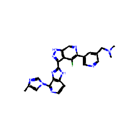 Cc1cn(-c2nccc3[nH]c(-c4n[nH]c5cnc(-c6cncc(CN(C)C)c6)c(F)c45)nc23)cn1